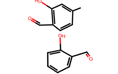 Cc1ccc(C=O)c(O)c1.O=Cc1ccccc1O